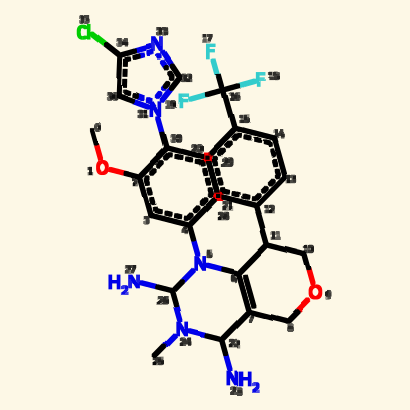 COc1cc(N2C3=C(COCC3c3ccc(C(F)(F)F)cc3)C(N)N(C)C2N)ccc1-n1cnc(Cl)c1